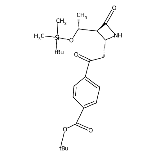 C[C@@H](O[Si](C)(C)C(C)(C)C)[C@H]1C(=O)N[C@@H]1CC(=O)c1ccc(C(=O)OC(C)(C)C)cc1